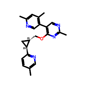 Cc1ccc([C@H]2C[C@@H]2COc2nc(C)ncc2-c2cnc(C)cc2C)nc1